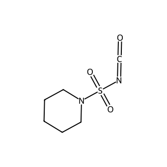 O=C=NS(=O)(=O)N1CCCCC1